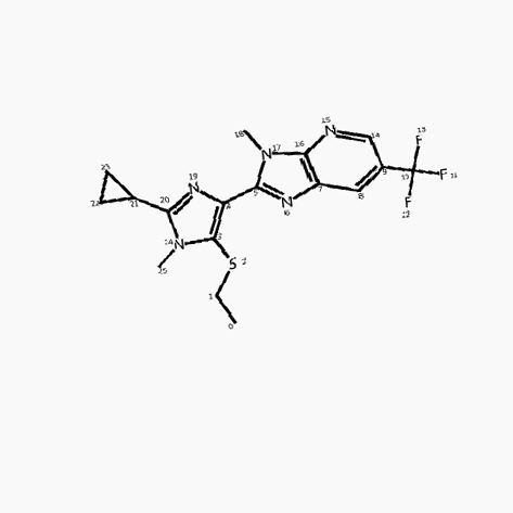 CCSc1c(-c2nc3cc(C(F)(F)F)cnc3n2C)nc(C2CC2)n1C